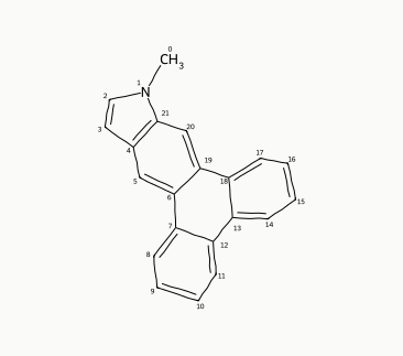 Cn1ccc2cc3c4ccccc4c4ccccc4c3cc21